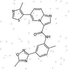 Cc1nc(-c2ccc(C)c(NC(=O)c3cnc4ccc(-c5scnc5C)cn34)c2)no1